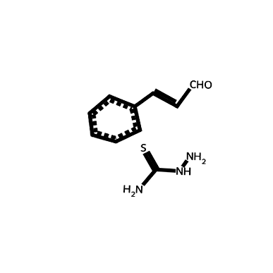 NNC(N)=S.O=CC=Cc1ccccc1